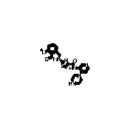 COc1cccc(CNc2nc(C(=O)Nc3cnccc3N3CCNCC3)cs2)c1C=O